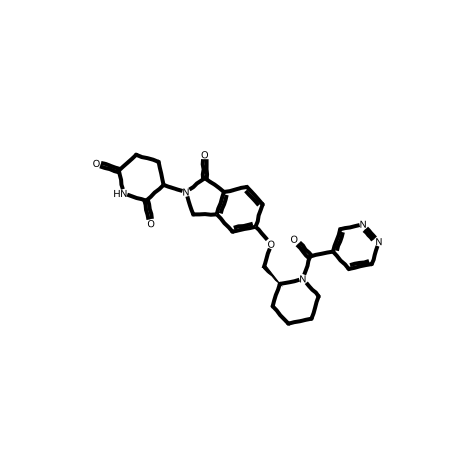 O=C1CCC(N2Cc3cc(OC[C@@H]4CCCCN4C(=O)c4ccnnc4)ccc3C2=O)C(=O)N1